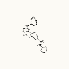 Cc1cnc(Nc2ccccc2)cc1-c1ccc(C(=O)NC2CCCCC2)cc1